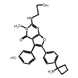 Cl.Cn1c(NCCO)nc2oc(-c3ccc(C4(N)CCC4)cc3)c(-c3ccccc3)c2c1=O